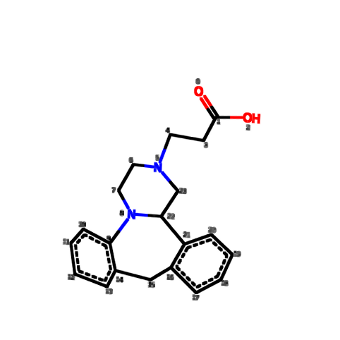 O=C(O)CCN1CCN2c3ccccc3Cc3ccccc3C2C1